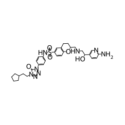 Nc1ccc(C(O)CNCC2CCc3cc(S(=O)(=O)Nc4ccc(-n5nnn(CCC6CCCC6)c5=O)cc4)ccc3O2)cn1